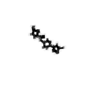 Cc1cc(-c2ccc(CNc3ccn(C)n3)cc2)no1